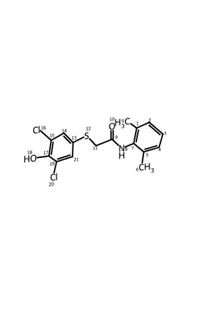 Cc1cccc(C)c1NC(=O)CSc1cc(Cl)c(O)c(Cl)c1